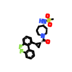 CS(=O)(=O)N[C@H]1CCCN(C(=O)[C@@H]2C[C@H]2c2cccc(F)c2-c2ccccc2F)CC1